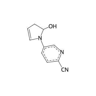 N#Cc1ccc(N2C=CCC2O)cn1